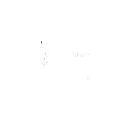 CN(Cc1cccc(C(F)(F)F)c1)C[Si](C)(C)C